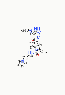 CON=Cc1c(N)ncnc1Oc1ccc2c(c1)cc(C)n2C(=O)NCCCCN1CCCC1